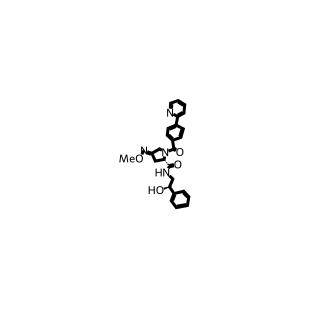 CO/N=C1\C[C@@H](C(=O)NC[C@H](O)c2ccccc2)N(C(=O)c2ccc(-c3ccccn3)cc2)C1